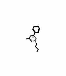 CCCCNC[C@@H](CC(C)C)c1ccccc1